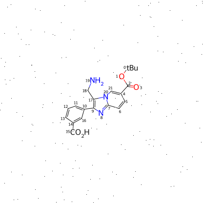 CC(C)(C)OC(=O)c1ccc2nc(-c3cccc(C(=O)O)c3)c(CN)n2c1